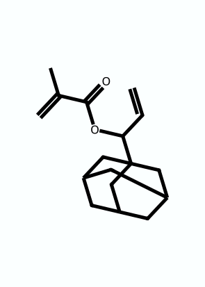 C=CC(OC(=O)C(=C)C)C12CC3CC(CC(C3)C1)C2